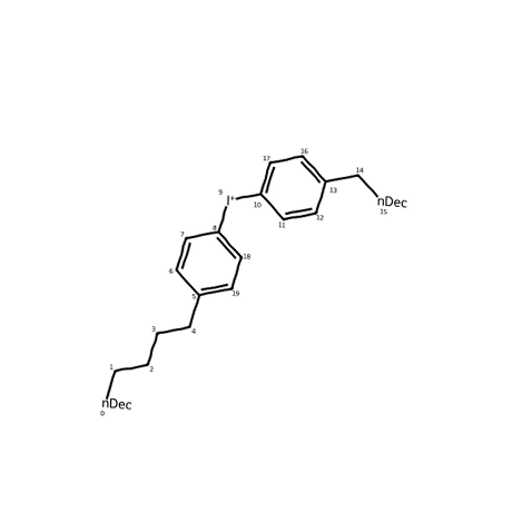 CCCCCCCCCCCCCCc1ccc([I+]c2ccc(CCCCCCCCCCC)cc2)cc1